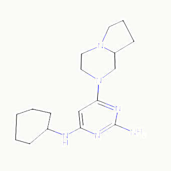 Nc1nc(NC2CCCCC2)cc(N2CCN3CCCC3C2)n1